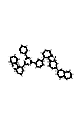 c1ccc(-c2nc(-c3cccc(-c4cccc5oc6cc(-c7ccc8ccccc8c7)ccc6c45)c3)nc(-c3cccc4sc5ccccc5c34)n2)cc1